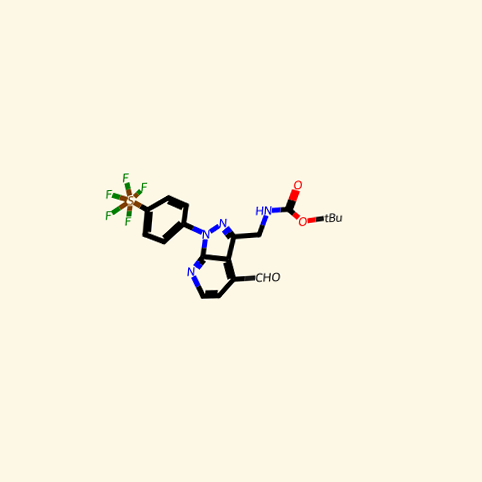 CC(C)(C)OC(=O)NCc1nn(-c2ccc(S(F)(F)(F)(F)F)cc2)c2nccc(C=O)c12